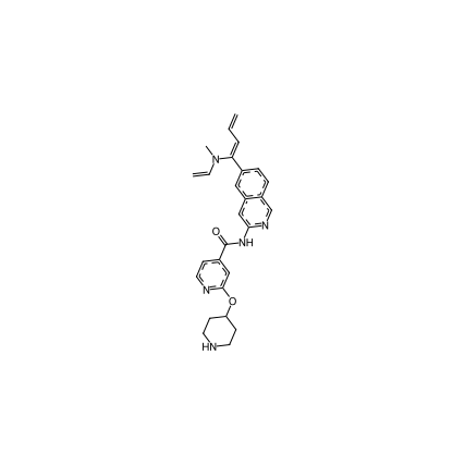 C=C/C=C(/c1ccc2cnc(NC(=O)c3ccnc(OC4CCNCC4)c3)cc2c1)N(C)C=C